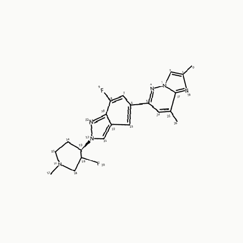 Cc1cn2nc(-c3cc(F)c4nn([C@@H]5CCN(C)CC5F)cc4c3)cc(C)c2n1